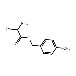 Cc1ccc(COC(=O)C(N)C(C)C)cc1